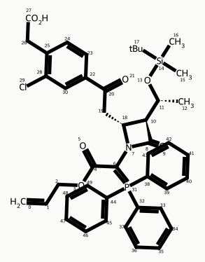 C=CCOC(=O)C(N1C(=O)[C@H]([C@@H](C)O[Si](C)(C)C(C)(C)C)[C@H]1CC(=O)c1ccc(CC(=O)O)c(Cl)c1)=P(c1ccccc1)(c1ccccc1)c1ccccc1